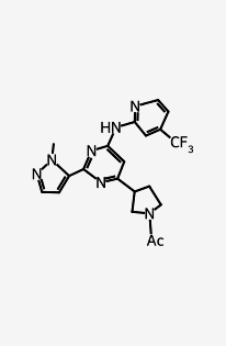 CC(=O)N1CCC(c2cc(Nc3cc(C(F)(F)F)ccn3)nc(-c3ccnn3C)n2)C1